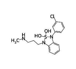 CNCCCN1c2ccccc2N(c2cccc(Cl)c2)S1(O)O